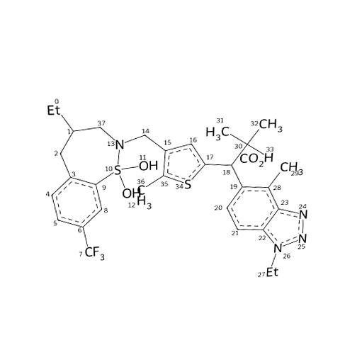 CCC1Cc2ccc(C(F)(F)F)cc2S(O)(O)N(Cc2cc(C(c3ccc4c(nnn4CC)c3C)C(C)(C)C(=O)O)sc2C)C1